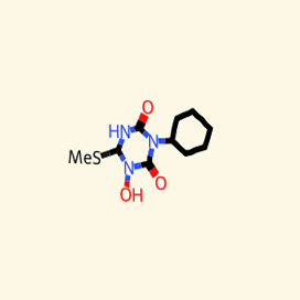 CSC1NC(=O)N(C2CCCCC2)C(=O)N1O